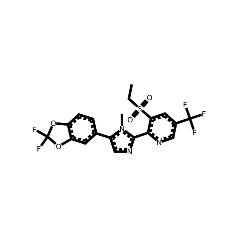 CCS(=O)(=O)c1cc(C(F)(F)F)cnc1-c1ncc(-c2ccc3c(c2)OC(F)(F)O3)n1C